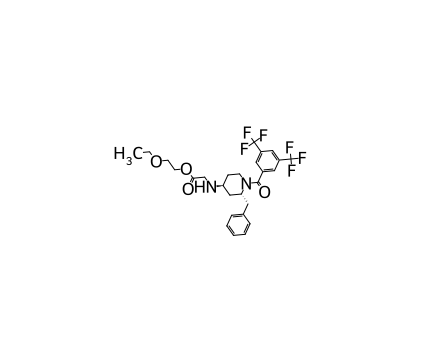 CCOCCOC(=O)CN[C@H]1CCN(C(=O)c2cc(C(F)(F)F)cc(C(F)(F)F)c2)[C@H](Cc2ccccc2)C1